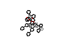 C1=c2c(n(-c3cc(-c4ccccc4)ccc3C3NC(c4cccc5oc6ccccc6c45)=NC(c4cccc(-c5ccccc5)c4)N3)c3cccc(-c4cccc5c4c4ccccc4n5-c4ccccc4)c23)=CC(c2ccccc2)C1